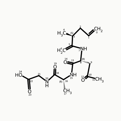 C=CC[C@H](C)C(=C)N[C@H](CC(C)=O)C(=O)N[C@H](C)C(=O)NCC(=O)O